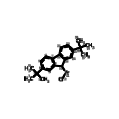 CC(C)(C)c1ccc2c(c1)[CH]([Zr][Cl])c1cc(C(C)(C)C)ccc1-2